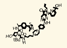 C=CCn1c(=O)c2cnc(Nc3ccc(N4CCN(CCCC(=O)N[C@H](C(=O)N5C[C@H](O)C[C@H]5C(=O)N[C@@H](C)c5ccc(-c6scnc6C)cc5)C(C)(C)C)CC4)cc3)nc2n1-c1cccc(C(C)(C)O)n1